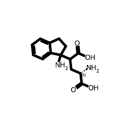 N[C@@H](CC(C(=O)O)C1(N)CCc2ccccc21)C(=O)O